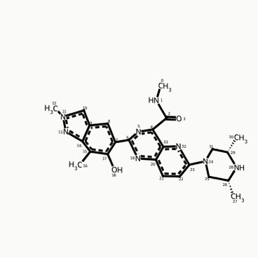 CNC(=O)c1nc(-c2cc3cn(C)nc3c(C)c2O)nc2ccc(N3C[C@@H](C)N[C@@H](C)C3)nc12